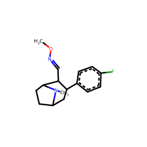 CO/N=C/C1C(c2ccc(F)cc2)CC2CCC1N2C